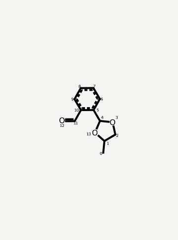 CC1COC(c2ccccc2C=O)O1